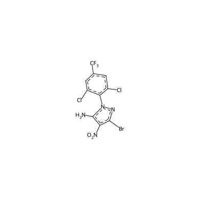 Nc1c([N+](=O)[O-])c(Br)nn1-c1c(Cl)cc(C(F)(F)F)cc1Cl